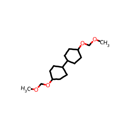 COCOC1CCC(C2CCC(OCOC)CC2)CC1